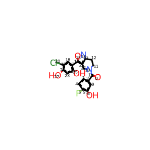 O=C(c1ccc(F)c(O)c1)N1CCc2noc(-c3cc(Cl)c(O)cc3O)c2C1